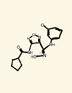 O=C(Nc1nonc1/C(=N\O)Nc1cccc(Cl)c1)C1CCCC1